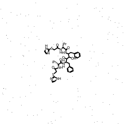 CC(C)[C@H](NC(=O)CSc1ncc[nH]1)C(=O)NC(Cc1ccccc1)C(O)C(O)C(Cc1ccccc1)NC(=O)[C@@H](NC(=O)CSc1ncc[nH]1)C(C)C